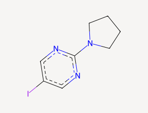 Ic1cnc(N2CCCC2)nc1